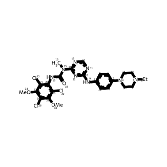 CCN1CCN(c2ccc(Nc3ncnc(N(C)C(=O)Nc4c(Cl)c(OC)c(Cl)c(OC)c4Cl)n3)cc2)CC1